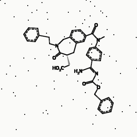 CN(C(=O)c1ccc2c(c1)C[C@H](CC(=O)O)C(=O)N(CCc1ccccc1)C2)c1ccc(C(N)=NC(=O)OCc2ccccc2)cc1